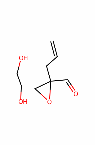 C=CCC1(C=O)CO1.OCCO